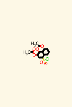 CC(=O)Oc1cc(S(=O)(=O)Cl)c2ccccc2c1OC(C)=O